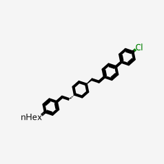 CCCCCCc1ccc(CC[C@H]2CC[C@H](CCc3ccc(-c4ccc(Cl)cc4)cc3)CC2)cc1